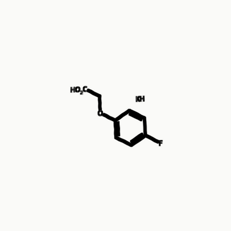 O=C(O)COc1ccc(F)cc1.[KH]